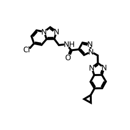 O=C(NCc1ncn2ccc(Cl)cc12)c1cnn(CC2=NC3C=C(C4CC4)C=CC3=N2)c1